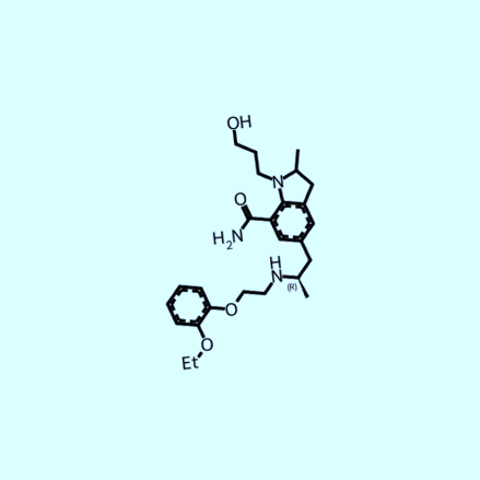 CCOc1ccccc1OCCN[C@H](C)Cc1cc2c(c(C(N)=O)c1)N(CCCO)C(C)C2